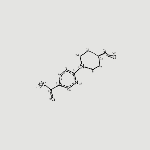 NC(=O)c1ccc(N2CCC(C=O)CC2)nc1